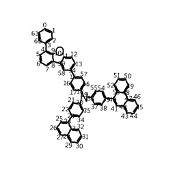 c1ccc(-c2cccc3c2oc2ccc(-c4ccc(N(c5ccc(-c6cccc7ccccc67)cc5)c5ccc(-c6cc7ccccc7c7ccccc67)cc5)cc4)cc23)cc1